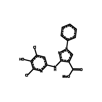 COC(=O)c1cn(-c2ccccc2)nc1Nc1cc(Cl)c(O)c(Cl)n1